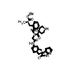 COC1(C(=O)N(CC(=O)Nc2ccc3c(c2)C[C@@]2(C3)C(=O)Nc3ncccc32)Cc2ccccc2CN(C)C(=O)OC(C)(C)C)CCNCC1